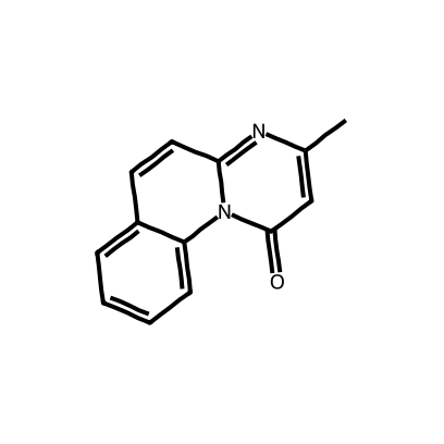 Cc1cc(=O)n2c(ccc3ccccc32)n1